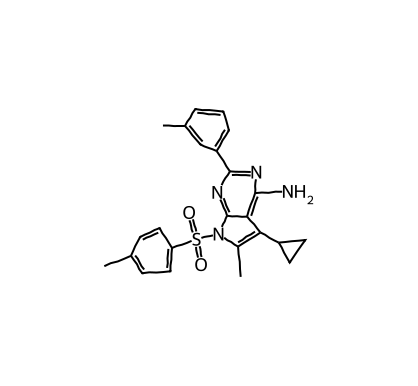 Cc1ccc(S(=O)(=O)n2c(C)c(C3CC3)c3c(N)nc(-c4cccc(C)c4)nc32)cc1